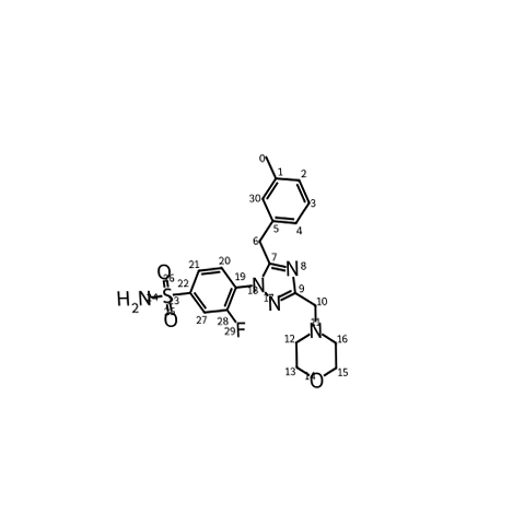 Cc1cccc(Cc2nc(CN3CCOCC3)nn2-c2ccc(S(N)(=O)=O)cc2F)c1